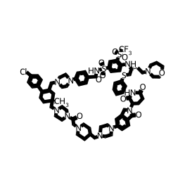 C[C@@]1(CN2CCN(C(=O)CN3CCC(CN4CCN(c5ccc6c(c5)CN(C5CCC(=O)NC5=O)C6=O)CC4)CC3)CC2)CCC(c2ccc(Cl)cc2)=C(CN2CCN(c3ccc(C(=O)NS(=O)(=O)c4ccc(N[C@H](CCN5CCCOCC5)CSc5ccccc5)c(S(=O)(=O)C(F)(F)F)c4)cc3)CC2)C1